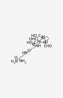 NC(=O)[C@@H](N)CCCCNCOCCCC(=O)NCCC1(N(CC=O)CC(=O)O)CN(CC=O)[C@H]2CCCC[C@@H]2N(CC(=O)O)C1